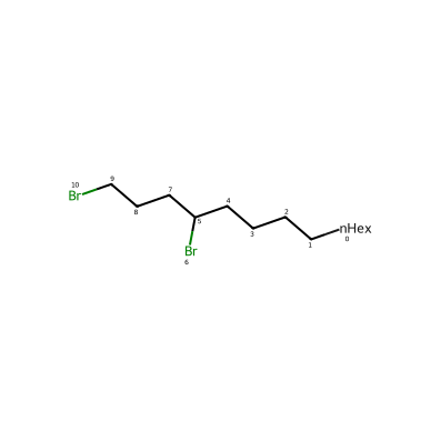 CCCCCCCCCCC(Br)CCCBr